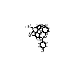 CCCCN1C(=O)C2(C(C#N)=CC3([N+](=O)[O-])C(c4ccc(C)cc4)Oc4ccccc4C23)c2cc(Cl)ccc21